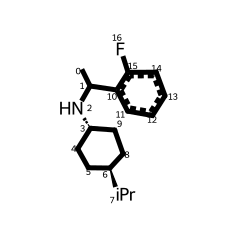 CC(N[C@H]1CC[C@H](C(C)C)CC1)c1ccccc1F